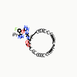 CC(C)c1ncncc1-c1cc(F)ccc1Oc1cncnc1N1CC2(CN(CC3CCCCCCCCCCCCCCCCCCCCCCCCCCCCCCCCCCCCCCC4(COCCO4)C3)C2)C1